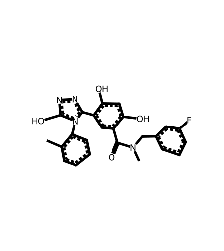 Cc1ccccc1-n1c(O)nnc1-c1cc(C(=O)N(C)Cc2cccc(F)c2)c(O)cc1O